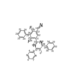 Cc1c(-c2ccccc2)nc(-c2cc(C#N)c(F)c(-c3ccccc3)c2F)nc1-c1ccccc1